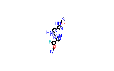 CN(C)CCOc1cc(F)cc(-c2ccnc3[nH]c(-c4n[nH]c5ccc(-c6cncc(NC(=O)CN(C)C)c6)nc45)nc23)c1